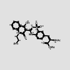 COC(=O)C(=Cc1ccc2c(c1)S(=O)(=O)N=C(c1c(O)c3ccccc3n(CCC(C)C)c1=O)N2)NC(C)=O